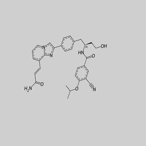 CC(C)Oc1ccc(C(=O)N[C@H](CCO)Cc2ccc(-c3cn4cccc(C=CC(N)=O)c4n3)cc2)cc1C#N